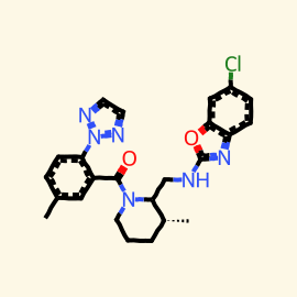 Cc1ccc(-n2nccn2)c(C(=O)N2CCC[C@@H](C)C2CNc2nc3ccc(Cl)cc3o2)c1